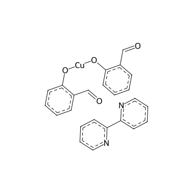 O=Cc1ccccc1[O][Cu][O]c1ccccc1C=O.c1ccc(-c2ccccn2)nc1